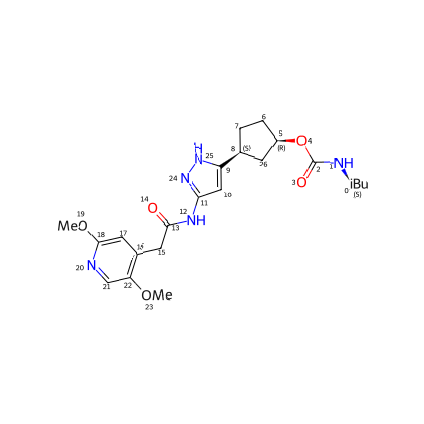 CC[C@H](C)NC(=O)O[C@@H]1CC[C@H](c2cc(NC(=O)Cc3cc(OC)ncc3OC)n[nH]2)C1